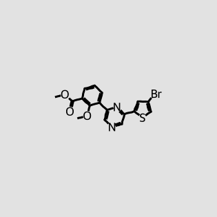 COC(=O)c1cccc(-c2cncc(-c3cc(Br)cs3)n2)c1OC